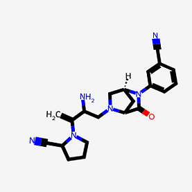 C=C(C(N)CN1C[C@@H]2CC1C(=O)N2c1cccc(C#N)c1)N1CCCC1C#N